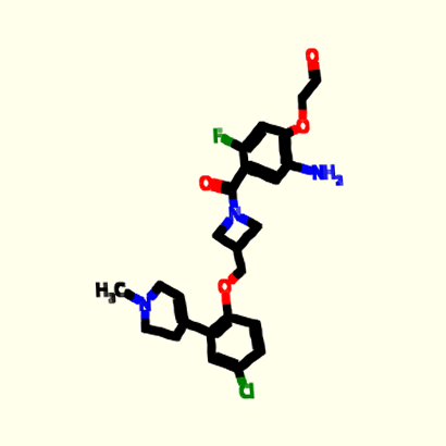 CN1CC=C(c2cc(Cl)ccc2OCC2CN(C(=O)c3cc(N)c(OCC=O)cc3F)C2)CC1